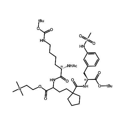 CC(=O)N[C@@H](CCCCNC(=O)OC(C)(C)C)C(=O)NC(CCC1(C(=O)N[C@@H](Cc2cccc(NS(C)(=O)=O)c2)C(=O)OC(C)(C)C)CCCC1)C(=O)OCC[Si](C)(C)C